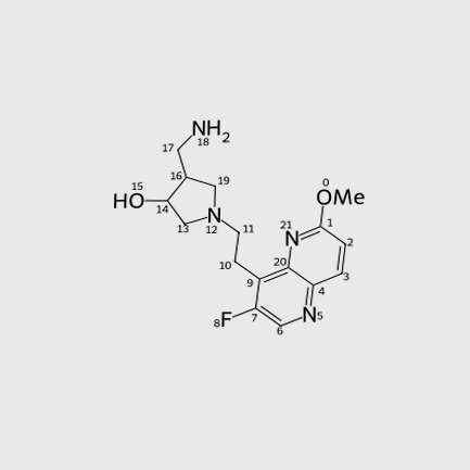 COc1ccc2ncc(F)c(CCN3CC(O)C(CN)C3)c2n1